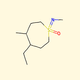 CCC1CCS(=O)(=NC)CCC1C